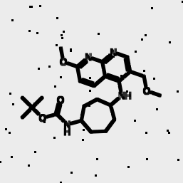 COCc1cnc2nc(OC)ccc2c1NC1CCCC(NC(=O)OC(C)(C)C)CC1